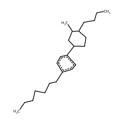 CCCCCCCc1ccc(C2CCC(CCCC)C(C)C2)cc1